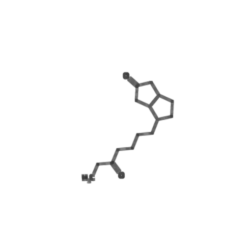 CCC(=O)CCCCC1CCC2CC(=O)CC12